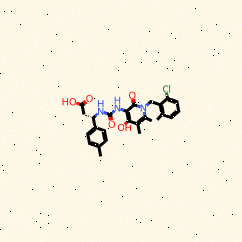 Cc1ccc([C@H](CC(=O)O)NC(=O)Nc2c(O)c(C)c(C)n(Cc3c(C)cccc3Cl)c2=O)cc1